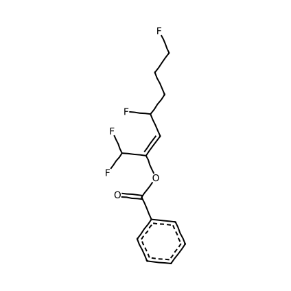 O=C(OC(=CC(F)CCCF)C(F)F)c1ccccc1